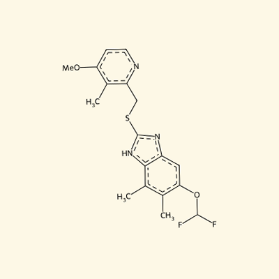 COc1ccnc(CSc2nc3cc(OC(F)F)c(C)c(C)c3[nH]2)c1C